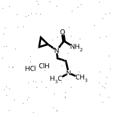 CN(C)CCN(C(N)=O)C1CC1.Cl.Cl